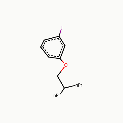 CCCC(CCC)COc1cccc(I)c1